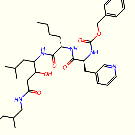 CCCC[C@H](NC(=O)[C@H](Cc1cccnc1)NC(=O)OCc1ccccc1)C(=O)NC(CC(C)C)C(O)CC(=O)NCC(C)CC